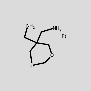 NCC1(CN)COCOC1.[Pt]